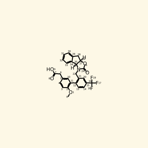 COc1ccc(CC(=O)O)cc1-c1ccc(C(F)(F)F)cc1CN1C(=O)O[C@H]2Cc3ccccc3[C@H]21